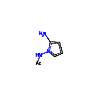 CC(=O)Nn1cccc1N